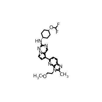 COCCn1c(C)nc2ccc(-c3ccn4nc(N[C@H]5CC[C@@H](OC(F)F)CC5)ncc34)nc21